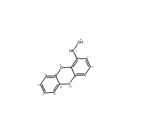 OBc1cccc2c1Oc1ccccc1S2